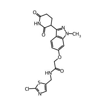 Cn1nc(C2CCC(=O)NC2=O)c2ccc(OCC(=O)NCc3cnc(Cl)s3)cc21